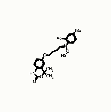 CC(=O)c1cc(C(C)(C)C)ccc1[N+](=CCCCOc1ccc2c(c1)C(C)(C)OC(=O)N2)OS